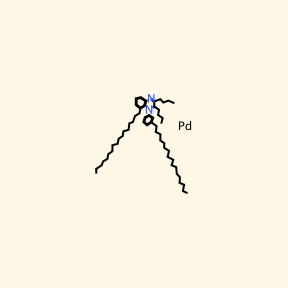 CCCCCCCCCCCCCCCCCc1cccc(N=C(CCCC)C(CCCC)=Nc2cccc(CCCCCCCCCCCCCCCCC)c2)c1.[Pd]